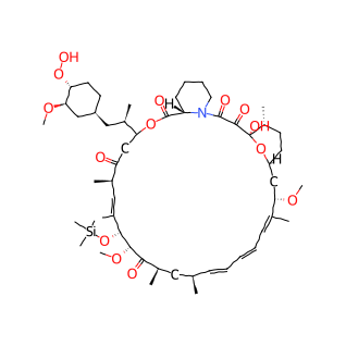 CO[C@H]1C[C@@H]2CC[C@@H](C)[C@@](O)(O2)C(=O)C(=O)N2CCCC[C@H]2C(=O)OC([C@H](C)C[C@@H]2CC[C@@H](OO)[C@H](OC)C2)CC(=O)[C@H](C)/C=C(\C)[C@@H](O[Si](C)(C)C)[C@@H](OC)C(=O)[C@H](C)C[C@H](C)/C=C/C=C/C=C/1C